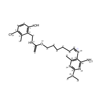 C=C(NCc1c(O)ccc(Cl)c1C)OCCCCC/C=N\c1c(C)nc(N(C)C)nc1N